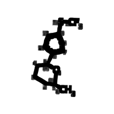 C[C@H]1CCC[C@@H](c2ccc(SC(F)(F)F)cc2)O1